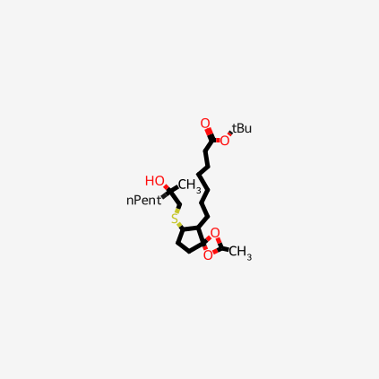 CCCCCC(C)(O)CSC1CCC2(OC(C)O2)C1CCCCCCC(=O)OC(C)(C)C